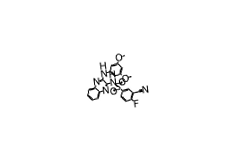 COc1cc(Nc2nc3ccccc3nc2NS(=O)(=O)c2ccc(F)c(C#N)c2)cc(OC)c1